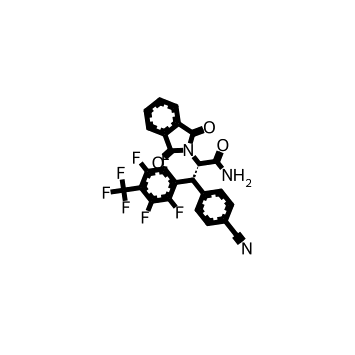 N#Cc1ccc(C(c2c(F)c(F)c(C(F)(F)F)c(F)c2F)[C@@H](C(N)=O)N2C(=O)c3ccccc3C2=O)cc1